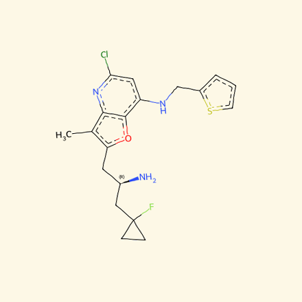 Cc1c(C[C@@H](N)CC2(F)CC2)oc2c(NCc3cccs3)cc(Cl)nc12